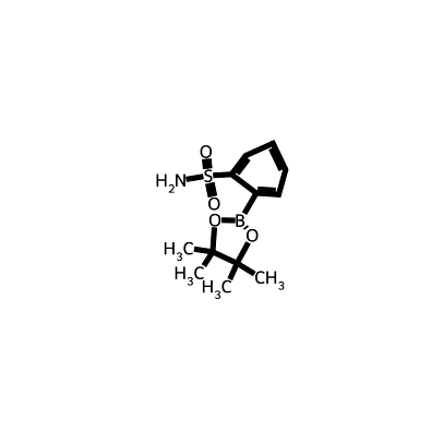 CC1(C)OB(c2ccccc2S(N)(=O)=O)OC1(C)C